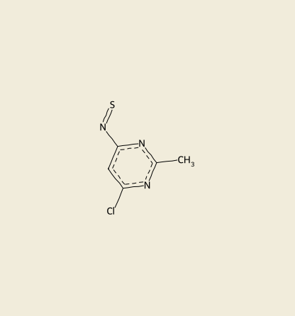 Cc1nc(Cl)cc(N=S)n1